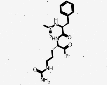 CC(C)C(=O)[C@H](CCCNC(N)=O)NC(=O)[C@H](Cc1ccccc1)NS(C)=S